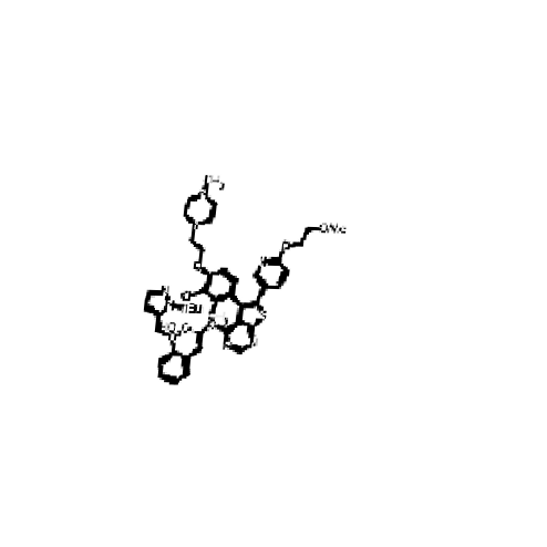 CCCCn1nccc1COc1ccccc1C[C@@H](Oc1ncnc2sc(-c3ccc(OCCOC)nc3)c(-c3ccc(OCCN4CCN(C)CC4)c(Cl)c3C)c12)C(=O)O